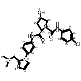 CN(C)Cc1nccn1-c1ccc(NC(=O)[C@H]2C[C@@H](O)CN2C(=O)Nc2ccc(Cl)cc2)cc1